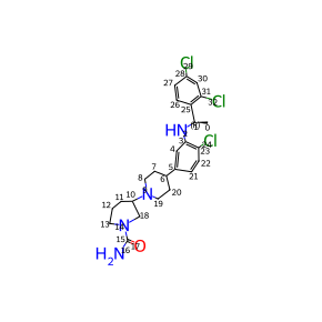 C[C@@H](Nc1cc(C2CCN(C3CCCN(C(N)=O)C3)CC2)ccc1Cl)c1ccc(Cl)cc1Cl